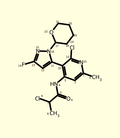 Cc1cc(NC(=O)C(C)Cl)c(-c2cc(F)nn2C2CCCCO2)c(Cl)n1